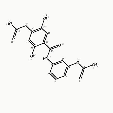 CC(=O)Oc1cccc(NC(=O)c2cc(O)c(CC(=O)O)cc2O)c1